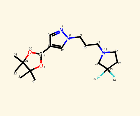 CC1(C)OB(c2cnn(CCCN3CCC(F)(F)C3)c2)OC1(C)C